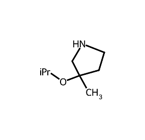 CC(C)OC1(C)CCNC1